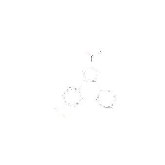 CS(=O)(=O)c1ccc(-n2cc(C(=O)C(F)(F)F)nc2-c2ccc(Cl)cc2)cc1